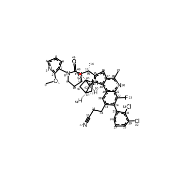 COc1ncccc1N1CCCN([C@H](C)c2cc3c(C)nc4c(F)c(-c5cccc(Cl)c5Cl)c(CCC#N)cc4c3n2[C@H]2[C@H]3CN[C@@H]2C3)C1=O